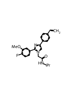 C=Cc1ccc(-c2cn(CC(=O)NC(C)C)c(-c3ccc(F)c(OC)c3)n2)cc1